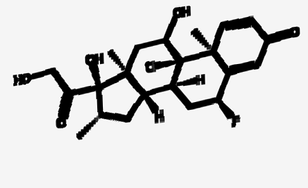 C[C@H]1C[C@H]2[C@@H]3C[C@H](F)C4=CC(=O)C=C[C@]4(C)[C@@]3(Cl)C(O)C[C@]2(C)[C@@]1(O)C(=O)CO